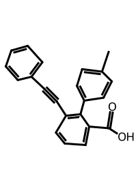 Cc1ccc(-c2c(C#Cc3ccccc3)cccc2C(=O)O)cc1